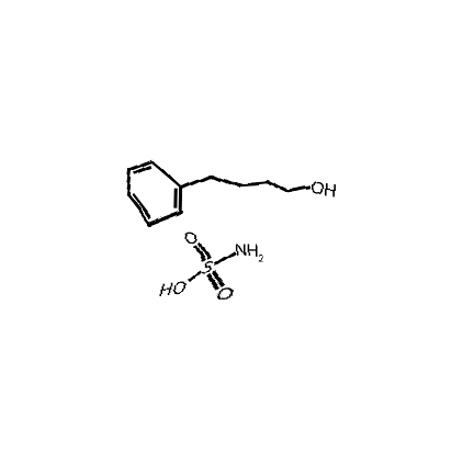 NS(=O)(=O)O.OCCCCc1ccccc1